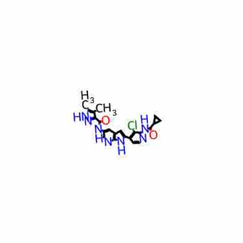 Cc1[nH]nc(C(=O)Nc2cnc3[nH]c(-c4ccnc(NC(=O)C5CC5)c4Cl)cc3c2)c1C